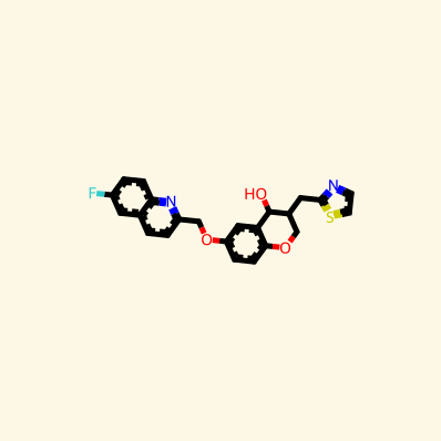 OC1c2cc(OCc3ccc4cc(F)ccc4n3)ccc2OCC1Cc1nccs1